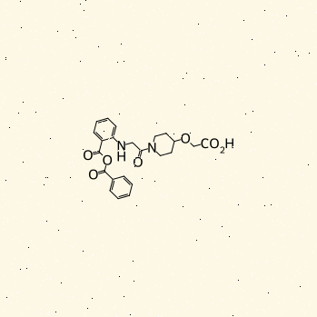 O=C(O)COC1CCN(C(=O)CNc2ccccc2C(=O)OC(=O)c2ccccc2)CC1